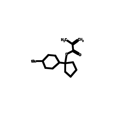 C=C(C)C(=O)OC1(C2CCC(C(C)(C)C)CC2)CCCC1